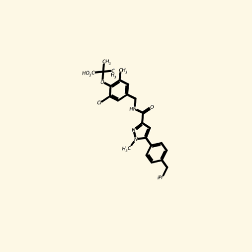 Cc1cc(CNC(=O)c2cc(-c3ccc(CC(C)C)cc3)n(C)n2)cc(Cl)c1OC(C)(C)C(=O)O